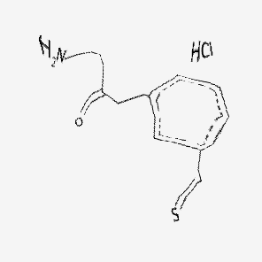 Cl.NCC(=O)c1cccc(C=S)c1